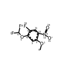 COc1cc(OC(F)F)c(F)cc1[N+](=O)[O-]